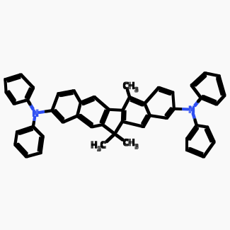 Cc1c2c(cc3cc(N(c4ccccc4)c4ccccc4)ccc13)C(C)(C)c1cc3cc(N(c4ccccc4)c4ccccc4)ccc3cc1-2